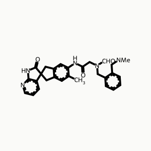 CNCc1ccccc1CN(C=O)CC(=O)Nc1cc2c(cc1C)CC1(C2)C(=O)Nc2ncccc21